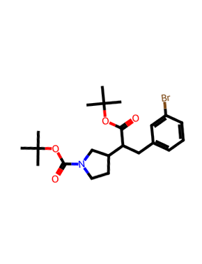 CC(C)(C)OC(=O)C(Cc1cccc(Br)c1)C1CCN(C(=O)OC(C)(C)C)C1